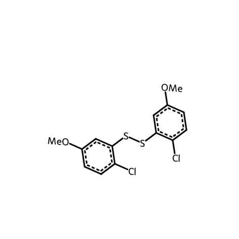 COc1ccc(Cl)c(SSc2cc(OC)ccc2Cl)c1